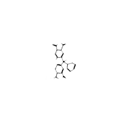 CC1(C2C=CC=CC2)C2=CC3C(=O)OC(=O)C3C=C2OC2=C1C=C1C(=O)O[C@@H](O)C1C2